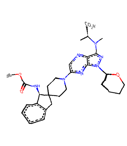 C[C@@H](C(=O)O)N(C)c1nn(C2CCCCO2)c2nc(N3CCC4(CC3)Cc3ccccc3[C@H]4NC(=O)OC(C)(C)C)cnc12